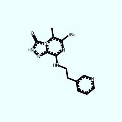 Cc1c(C(C)(C)C)nc(NCCc2cccnc2)c2n[nH]c(=O)n12